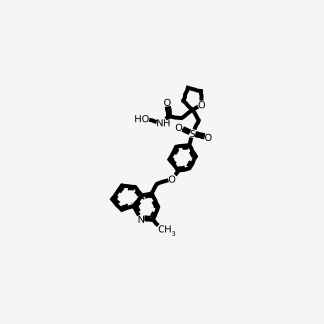 Cc1cc(COc2ccc(S(=O)(=O)CC3(CC(=O)NO)CCCO3)cc2)c2ccccc2n1